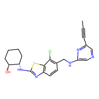 CC#Cc1cncc(NCc2ccc3nc(N[C@H]4CCCC[C@@H]4O)sc3c2Cl)n1